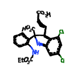 CCOC(=O)Nc1ccccc1C1(C(=O)O)N=c2cc(Cl)cc(Cl)c2=C1C=CC(=O)O